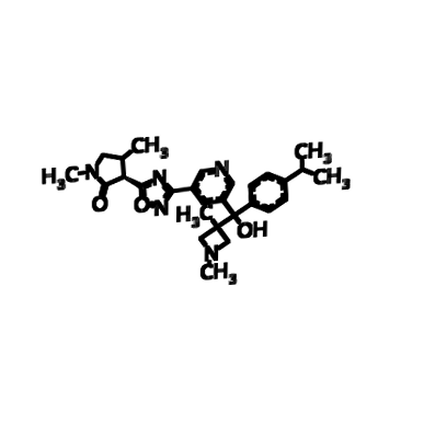 CC(C)c1ccc(C(O)(c2cncc(-c3noc([C@H]4C(=O)N(C)CC4C)n3)c2)C2(C)CN(C)C2)cc1